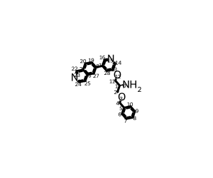 N[C@@H](COCc1ccccc1)COc1cncc(-c2ccc3cnccc3c2)c1